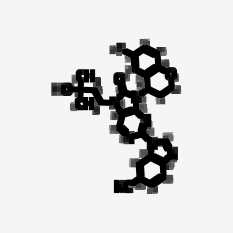 CC(C)(O)CCn1c(=O)n([C@@H]2CCOc3ccc(F)cc32)c2nc(-n3cnc4ccc(C#N)cc43)ncc21